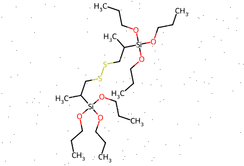 CCCO[Si](OCCC)(OCCC)C(C)CSSCC(C)[Si](OCCC)(OCCC)OCCC